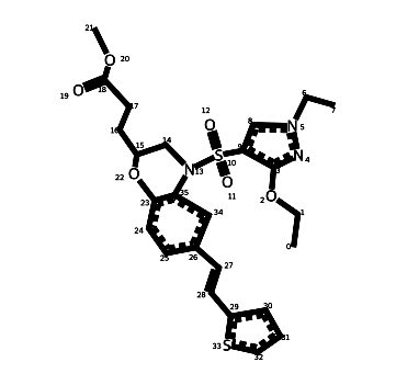 CCOc1nn(CC)cc1S(=O)(=O)N1CC(CCC(=O)OC)Oc2ccc(C=Cc3cccs3)cc21